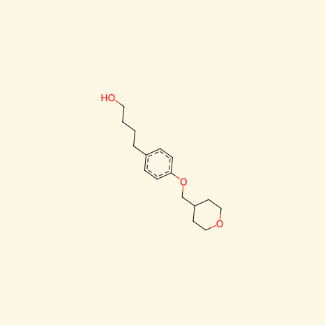 OCCCCc1ccc(OCC2CCOCC2)cc1